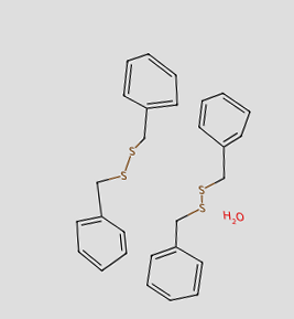 O.c1ccc(CSSCc2ccccc2)cc1.c1ccc(CSSCc2ccccc2)cc1